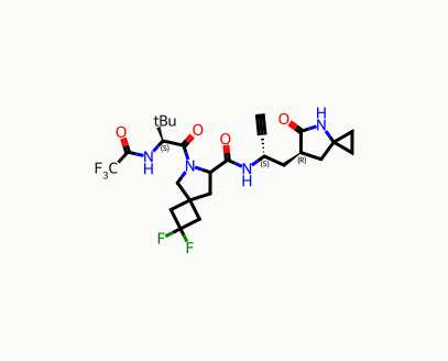 C#C[C@H](C[C@@H]1CC2(CC2)NC1=O)NC(=O)C1CC2(CN1C(=O)[C@@H](NC(=O)C(F)(F)F)C(C)(C)C)CC(F)(F)C2